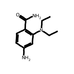 CCN(CC)c1cc(N)ccc1C(N)=O